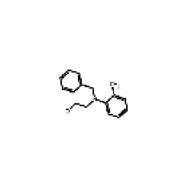 Cc1ccccc1N(CC[O])Cc1ccccc1